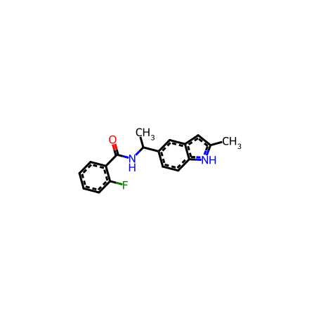 Cc1cc2cc(C(C)NC(=O)c3ccccc3F)ccc2[nH]1